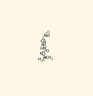 CN(C)c1cncc(C(=O)NCc2cn3cc(CNCC4CCC4)ccc3n2)c1